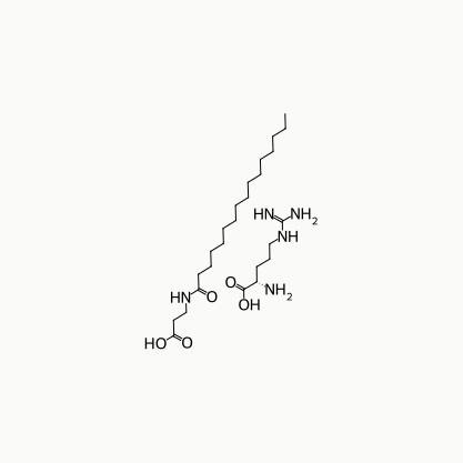 CCCCCCCCCCCCCCCC(=O)NCCC(=O)O.N=C(N)NCCC[C@H](N)C(=O)O